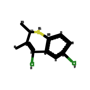 CC1=C(Cl)c2cc(Cl)ccc2SC1C